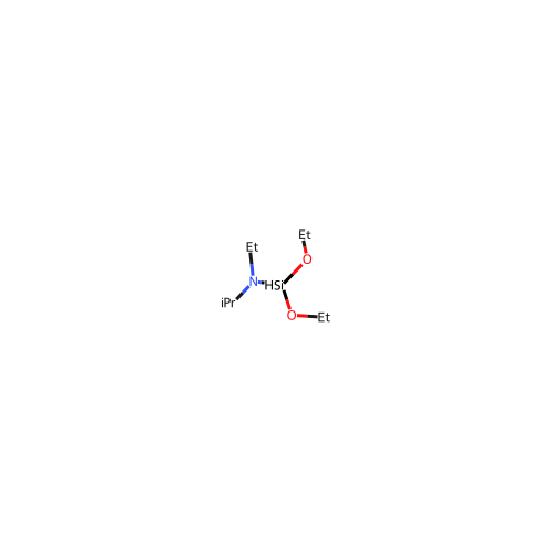 CCO[SiH](OCC)N(CC)C(C)C